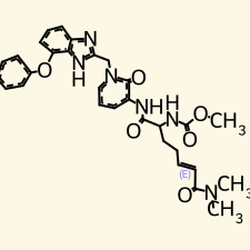 COC(=O)NC(CC/C=C/C(=O)N(C)C)C(=O)Nc1cccn(Cc2nc3cccc(Oc4ccccc4)c3[nH]2)c1=O